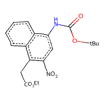 CCOC(=O)Cc1c([N+](=O)[O-])cc(NC(=O)OC(C)(C)C)c2ccccc12